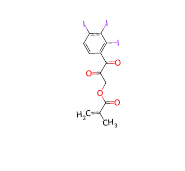 C=C(C)C(=O)OCC(=O)C(=O)c1ccc(I)c(I)c1I